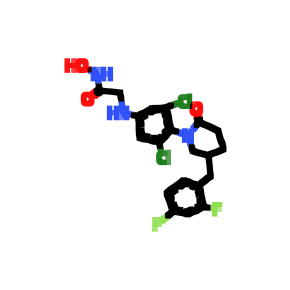 O=C(CNc1cc(Cl)c(N2CC(Cc3ccc(F)cc3F)CCC2=O)c(Cl)c1)NO